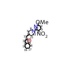 COc1ccc([N+](=O)[O-])c(N2CCC(=Cc3cc4ccccc4o3)CC2)n1